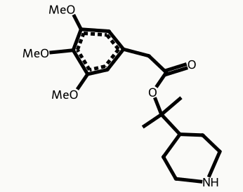 COc1cc(CC(=O)OC(C)(C)C2CCNCC2)cc(OC)c1OC